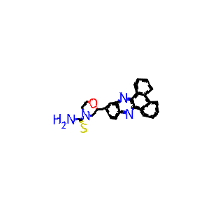 NC(=S)N1CCOC(c2ccc3nc4c5ccccc5c5ccccc5c4nc3c2)C1